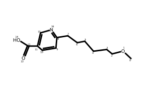 COCCCCCCc1ccc(C(=O)O)cn1